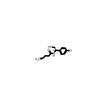 C=CCCC(=O)N[C@@H](CO)c1ccc(Cl)cc1